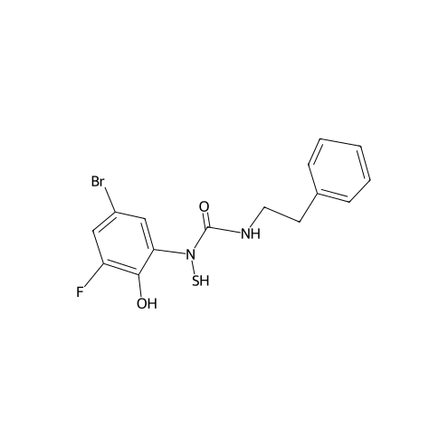 O=C(NCCc1ccccc1)N(S)c1cc(Br)cc(F)c1O